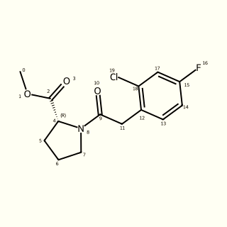 COC(=O)[C@H]1CCCN1C(=O)Cc1ccc(F)cc1Cl